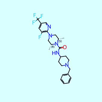 C[C@@H]1CN(c2ncc(C(F)(F)F)cc2F)C[C@H](C)N1C(=O)NC1CCN(Cc2ccccc2)CC1